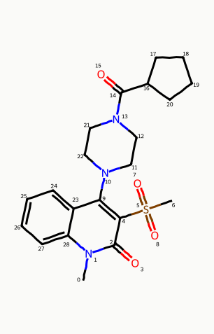 Cn1c(=O)c(S(C)(=O)=O)c(N2CCN(C(=O)C3CCCC3)CC2)c2ccccc21